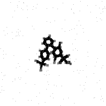 CS(=O)(=O)c1cc(F)c(-c2cnccc2-c2ccc(C(F)(F)F)cc2)cc1F